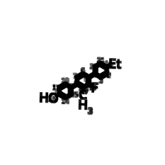 CCc1ccc(-c2ccc(-c3ccc(O)cc3)c(C)c2F)cc1